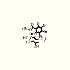 CC(O)CO.CCCCOC(=O)c1c(Br)c(Br)c(Br)c(Br)c1C(=O)O.O=C(O)C=CC(=O)O